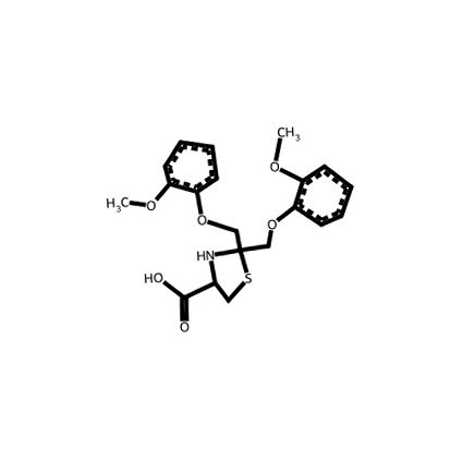 COc1ccccc1OCC1(COc2ccccc2OC)NC(C(=O)O)CS1